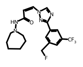 O=C(/C=C\n1cnc(-c2cc(CF)cc(C(F)(F)F)c2)n1)NN1CCCCCC1